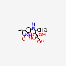 C=Cc1cc(=O)[nH]c2cc(N[C@H](C=O)[C@H](O)[C@@H](O)[C@@H](O)CO)ccc12